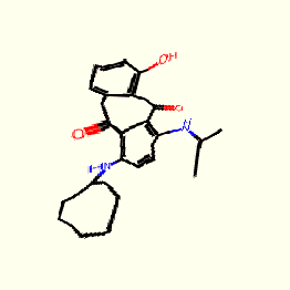 CC(C)Nc1ccc(NC2CCCCC2)c2c1C(=O)c1c(O)cccc1C2=O